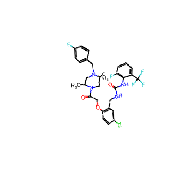 CC1CN(C(=O)COc2ccc(Cl)cc2CNC(=O)Nc2c(F)cccc2C(F)(F)F)C(C)CN1Cc1ccc(F)cc1